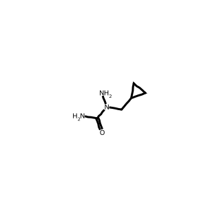 NC(=O)N(N)CC1CC1